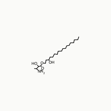 CCCCCCCCCCCCCCCC(O)CCOC(OC)C(O)C(C)N